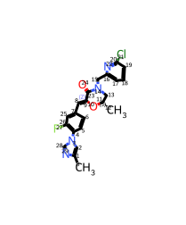 Cc1cn(-c2ccc(/C=C3\O[C@@H](C)CN(Cc4cccc(Cl)n4)C3=O)cc2F)cn1